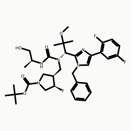 COC(C)(C)[C@H](c1nc(-c2cc(F)ccc2F)cn1Cc1ccccc1)N(C[C@@H]1CN(C(=O)OC(C)(C)C)C[C@@H]1F)C(=O)N[C@@H](C)CO